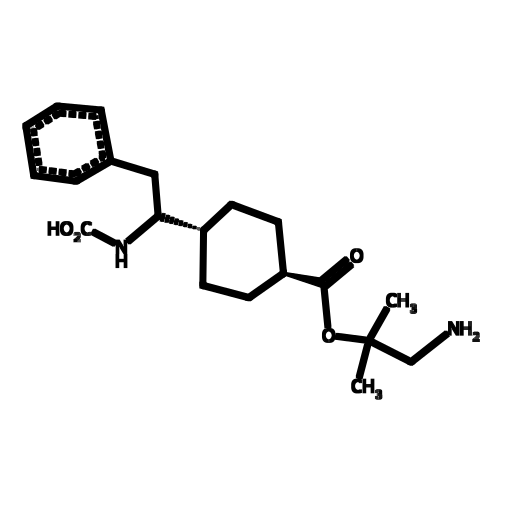 CC(C)(CN)OC(=O)[C@H]1CC[C@H](C(Cc2ccccc2)NC(=O)O)CC1